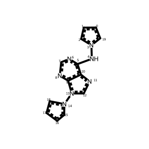 c1ccn(Nc2ncnc3c2ncn3-n2cccc2)c1